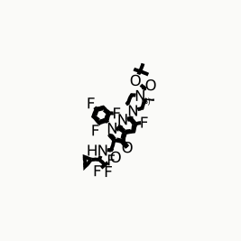 C[C@H]1CN(c2nc3c(cc2F)c(=O)c(C(=O)NC(C2CC2)C(F)(F)F)cn3-c2c(F)cc(F)cc2F)CCN1C(=O)OC(C)(C)C